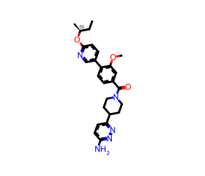 CC[C@H](C)Oc1ccc(-c2ccc(C(=O)N3CCC(c4ccc(N)nn4)CC3)cc2OC)cn1